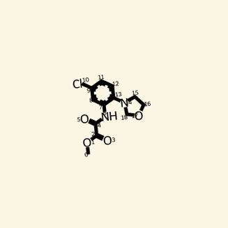 COC(=O)C(=O)Nc1cc(Cl)ccc1N1CCOC1